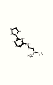 CN(C)CCNc1ccnc(N2CCCC2)n1